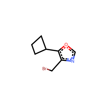 BrCc1ncoc1C1CCC1